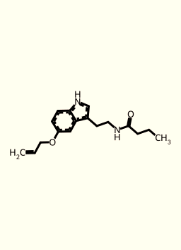 C=CCOc1ccc2[nH]cc(CCNC(=O)CCC)c2c1